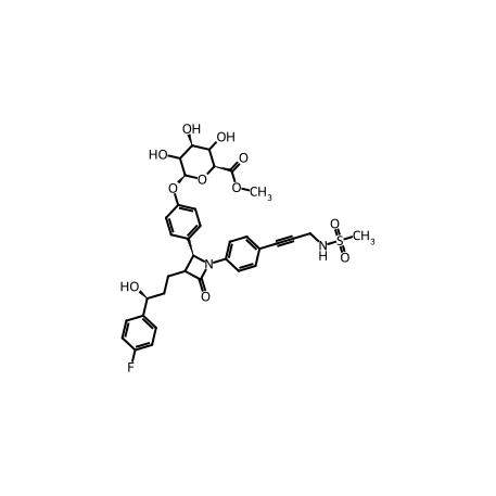 COC(=O)[C@H]1O[C@@H](Oc2ccc([C@@H]3C(CC[C@H](O)c4ccc(F)cc4)C(=O)N3c3ccc(C#CCNS(C)(=O)=O)cc3)cc2)C(O)[C@@H](O)C1O